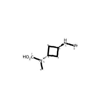 CC(C)N[C@H]1C[C@H](N(C)C(=O)O)C1